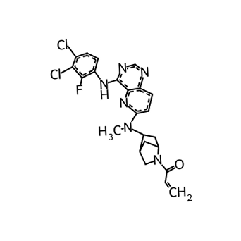 C=CC(=O)N1CC2CC1CC2N(C)c1ccc2ncnc(Nc3ccc(Cl)c(Cl)c3F)c2n1